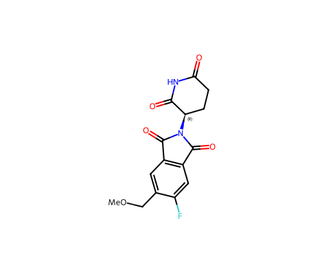 COCc1cc2c(cc1F)C(=O)N([C@@H]1CCC(=O)NC1=O)C2=O